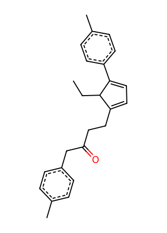 CCC1C(CCC(=O)Cc2ccc(C)cc2)=CC=C1c1ccc(C)cc1